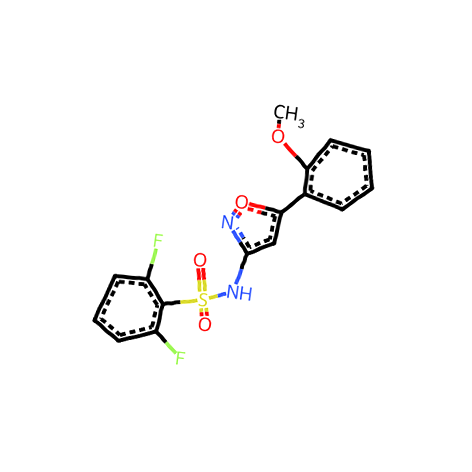 COc1ccccc1-c1cc(NS(=O)(=O)c2c(F)cccc2F)no1